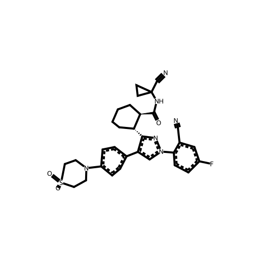 N#Cc1cc(F)ccc1-n1cc(-c2ccc(N3CCS(=O)(=O)CC3)cc2)c([C@@H]2CCCC[C@H]2C(=O)NC2(C#N)CC2)n1